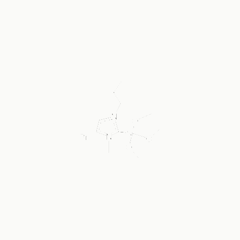 CCC[n+]1ccn(C)c1[Si](OC)(OC)OC.[Br-]